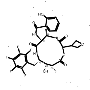 C[C@H]1NC(=O)C(C2COC2)OC(=O)[C@H](C)[C@H](O)[C@H](Cc2c(F)c(F)c(F)c(F)c2F)NC(=O)[C@H]1NC(=O)c1ccccc1O